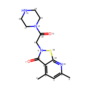 Cc1cc(C)c2c(=O)n(CC(=O)N3CCNCC3)sc2n1